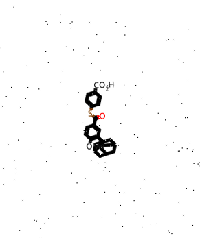 COc1ccc(C(=O)Sc2ccc(C(=O)O)cc2)cc1C12CC3CC(CC(C3)C1)C2